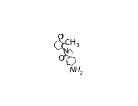 CC1=C(N2CC[C@]3(CC[C@@H](N)CC3)C2=O)CCCC1=O